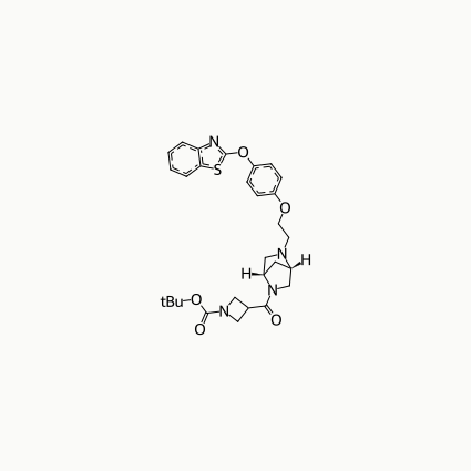 CC(C)(C)OC(=O)N1CC(C(=O)N2C[C@@H]3C[C@H]2CN3CCOc2ccc(Oc3nc4ccccc4s3)cc2)C1